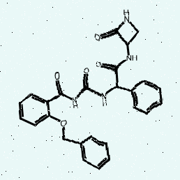 O=C(NC(=O)c1ccccc1OCc1ccccc1)NC(C(=O)NC1CNC1=O)c1ccccc1